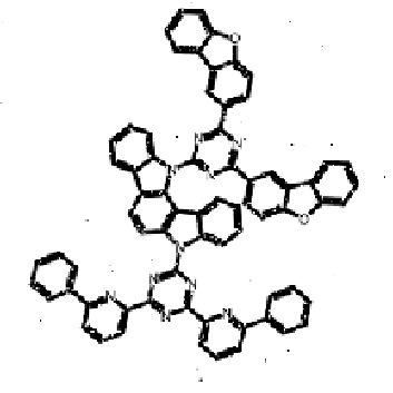 c1ccc(-c2cccc(-c3nc(-c4cccc(-c5ccccc5)n4)nc(-n4c5ccccc5c5c4ccc4c6ccccc6n(-c6nc(-c7ccc8oc9ccccc9c8c7)nc(-c7ccc8oc9ccccc9c8c7)n6)c45)n3)n2)cc1